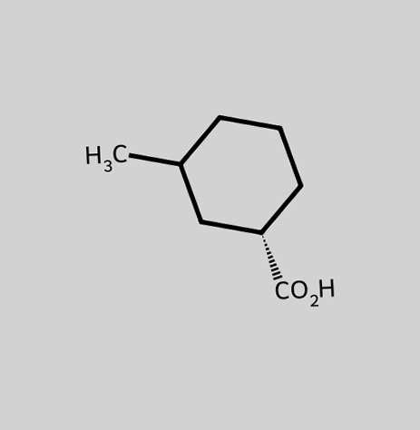 CC1CCC[C@H](C(=O)O)C1